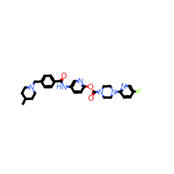 CC1CCN(Cc2ccc(C(=O)Nc3ccc(OC(=O)N4CCN(c5ccc(F)cn5)CC4)nc3)cc2)CC1